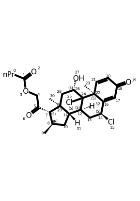 CCCC(=O)OCC(=O)[C@H]1[C@H](C)C[C@H]2[C@@H]3C[C@H](Cl)C4=CC(=O)C=C[C@]4(C)C3(Cl)[C@@H](O)C[C@@]21C